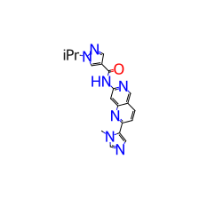 CC(C)n1cc(C(=O)Nc2cc3nc(-c4cncn4C)ccc3cn2)cn1